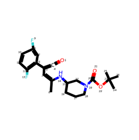 C/C(=C/C(=C=O)c1cc(F)ccc1F)NC1CCCN(C(=O)OC(C)(C)C)C1